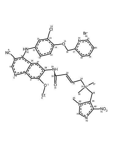 CCOc1cc2ncc(C#N)c(Nc3ccc(OCc4ccccn4)c(Cl)c3)c2cc1NC(=O)/C=C/C[N+](C)(C)Cc1c([N+](=O)[O-])ncn1C.[Br-]